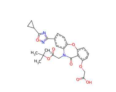 CC(C)(C)OC(=O)CN1C(=O)c2c(OCC(=O)O)cccc2Oc2ccc(-c3noc(C4CC4)n3)cc21